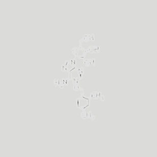 Cc1ccc(CON2C=Nc3c(ncn3[C@@H]3O[C@H](CO)C(O)C3O)C2N)c(C)c1